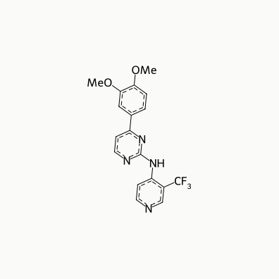 COc1ccc(-c2ccnc(Nc3ccncc3C(F)(F)F)n2)cc1OC